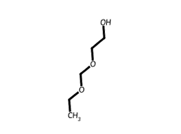 CCOCOCCO